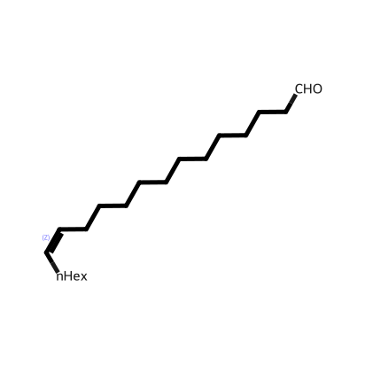 CCCCCC/C=C\CCCCCCCCCCCC=O